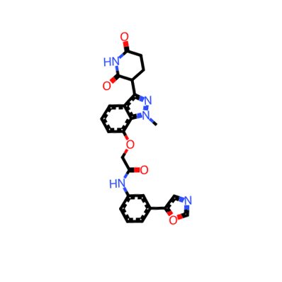 Cn1nc(C2CCC(=O)NC2=O)c2cccc(OCC(=O)Nc3cccc(-c4cnco4)c3)c21